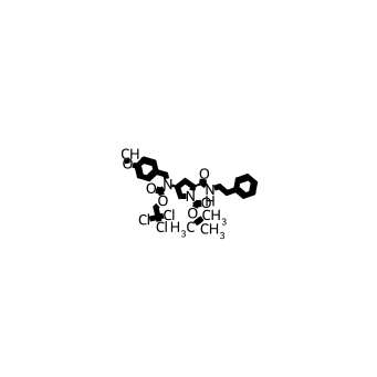 COc1ccc(CN(C(=O)OCC(Cl)(Cl)Cl)[C@H]2C[C@@H](C(=O)NCCc3ccccc3)N(C(=O)OC(C)(C)C)C2)cc1